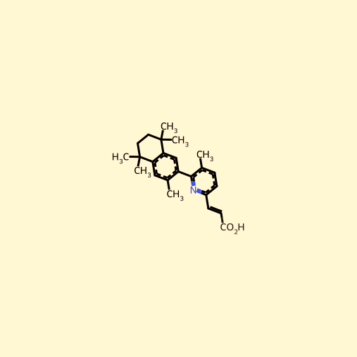 Cc1cc2c(cc1-c1nc(/C=C/C(=O)O)ccc1C)C(C)(C)CCC2(C)C